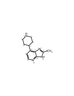 Cc1nc2c(C3CCNCC3)ccnc2[nH]1